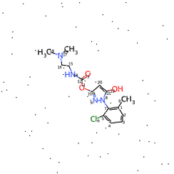 Cc1cccc(Cl)c1-n1nc(OC(=O)NCCN(C)C)cc1O